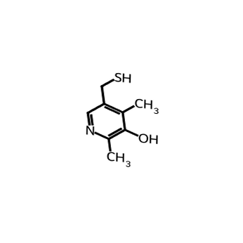 Cc1ncc(CS)c(C)c1O